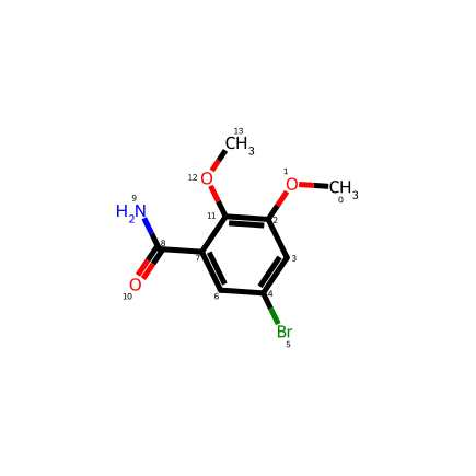 COc1cc(Br)cc(C(N)=O)c1OC